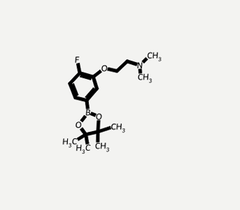 CN(C)CCOc1cc(B2OC(C)(C)C(C)(C)O2)ccc1F